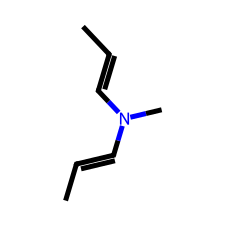 CC=CN(C)C=CC